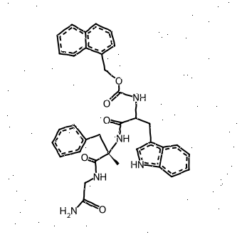 C[C@@](Cc1ccccc1)(NC(=O)C(Cc1c[nH]c2ccccc12)NC(=O)OCc1cccc2ccccc12)C(=O)NCC(N)=O